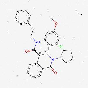 COc1ccc([C@H]2[C@H](C(=O)NCCc3ccccc3)c3ccccc3C(=O)N2C2CCCC2)c(Cl)c1